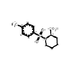 O=C(O)[C@H]1CCCCN1S(=O)(=O)c1ccc(C(F)(F)F)cc1